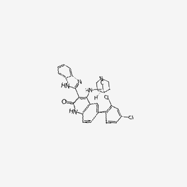 O=c1[nH]c2ccc(-c3ccc(Cl)cc3Cl)cc2c(N[C@H]2CN3CCC2CC3)c1-c1nc2ccccc2[nH]1